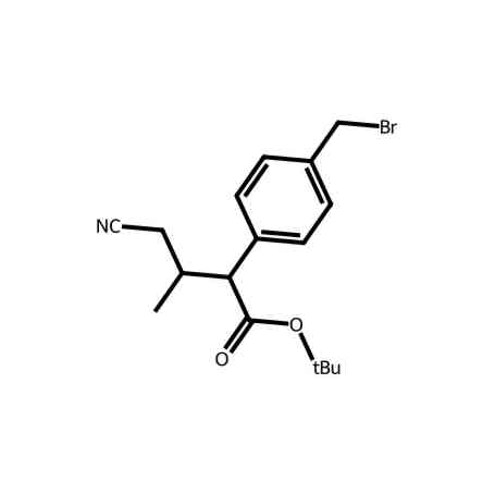 CC(CC#N)C(C(=O)OC(C)(C)C)c1ccc(CBr)cc1